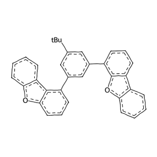 CC(C)(C)c1cc(-c2cccc3c2oc2ccccc23)cc(-c2cccc3oc4ccccc4c23)c1